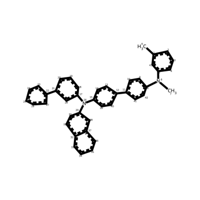 Cc1cccc(N(C)c2ccc(-c3ccc(N(c4cccc(-c5ccccc5)c4)c4ccc5ccccc5c4)cc3)cc2)c1